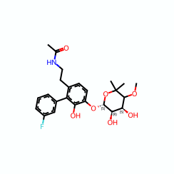 COC1[C@@H](O)[C@@H](O)[C@H](Oc2ccc(CCNC(C)=O)c(-c3cccc(F)c3)c2O)OC1(C)C